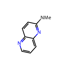 CNc1ccc2ncccc2n1